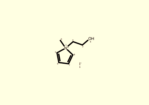 C[N+]1(CCO)C=CC=C1.[I-]